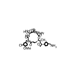 COc1ccc(C[C@H]2NC(=O)/C=C/C[C@@H]([C@H](C)[C@H]3OC[C@@H]3c3ccc(CN)cc3)OC(=O)[C@H](CC(C)C)NC(=O)C(C)(C)C(C)NC2=O)cc1Cl